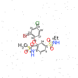 CCNS(=O)(=O)c1ccc(NS(C)(=O)=O)c(Oc2ccc(Cl)cc2Br)c1